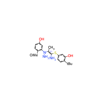 COc1ccc(O)cc1N(N)/C(C)=C(\N)Sc1ccc(C(C)(C)C)c(O)c1